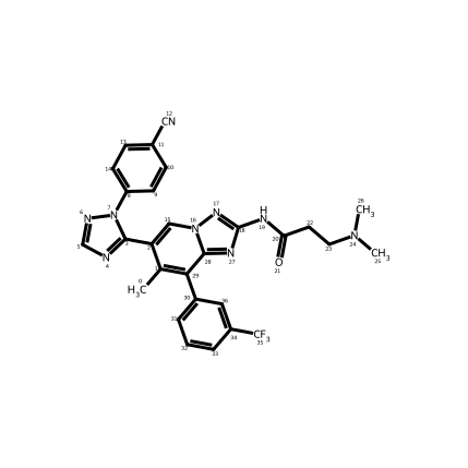 Cc1c(-c2ncnn2-c2ccc(C#N)cc2)cn2nc(NC(=O)CCN(C)C)nc2c1-c1cccc(C(F)(F)F)c1